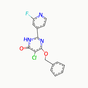 O=c1[nH]c(-c2ccnc(F)c2)nc(OCc2ccccc2)c1Cl